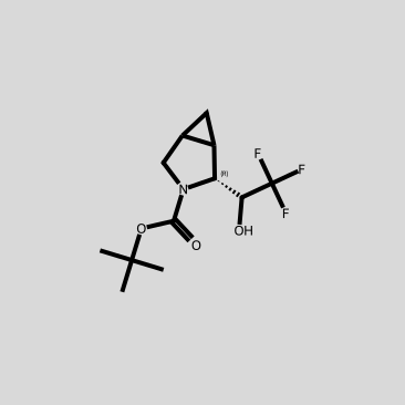 CC(C)(C)OC(=O)N1CC2CC2[C@@H]1C(O)C(F)(F)F